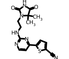 CC1(C)C(=O)NC(=O)N1CCNc1nccc(-c2ccc(C#N)s2)n1